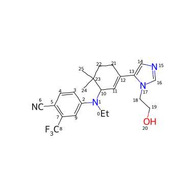 CCN(c1ccc(C#N)c(C(F)(F)F)c1)C1C=C(c2cncn2CCO)CCC1(C)C